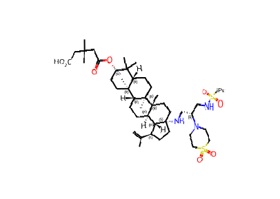 C=C(C)[C@@H]1CC[C@]2(NC[C@H](CNS(=O)(=O)C(C)C)N3CCS(=O)(=O)CC3)CC[C@]3(C)[C@H](CC[C@@H]4[C@@]5(C)CC[C@H](OC(=O)CC(C)(C)CC(=O)O)C(C)(C)[C@@H]5CC[C@]43C)[C@@H]12